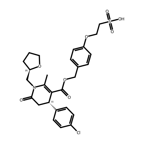 CC1=C(C(=O)OCc2ccc(OCCS(=O)(=O)O)cc2)[C@H](c2ccc(Cl)cc2)CC(=O)N1C[C@H]1CCCO1